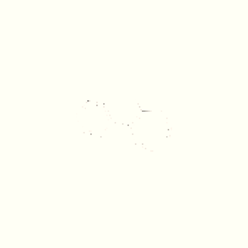 IC1=C(c2cccc[n+]2I)C=CC=C=N1